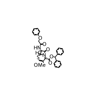 COC1=CS[C@@H]2[C@H](NC(=O)COc3ccccc3)C(=O)N2[C@H]1C(=O)OC(c1ccccc1)c1ccccc1